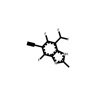 C#Cc1c(F)c(C(F)F)c2[nH]c(C)nc2c1F